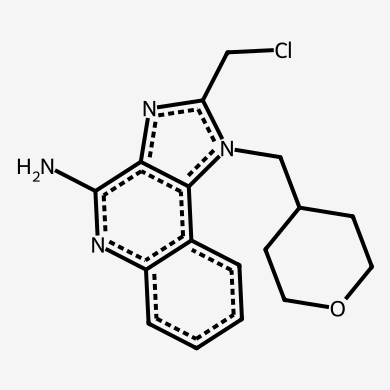 Nc1nc2ccccc2c2c1nc(CCl)n2CC1CCOCC1